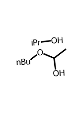 CC(C)O.CCCCOC(C)O